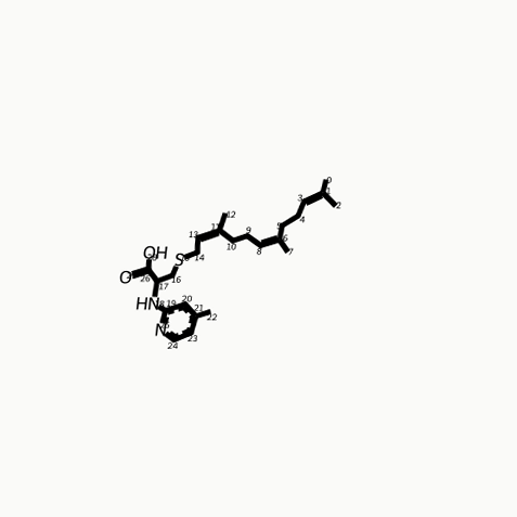 CC(C)=CCCC(C)=CCCC(C)=CCSCC(Nc1cc(C)ccn1)C(=O)O